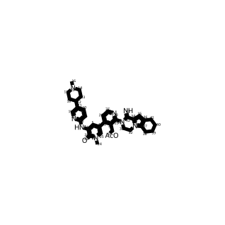 CC(=O)OCc1c(-c2cc(Nc3ccc(C4CCN(C)CC4)cn3)c(=O)n(C)c2)ccnc1N1CCn2c(cc3c2CCCC3)C1=N